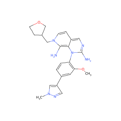 COc1cc(-c2cnn(C)c2)ccc1N1C(N)=NC=C2C=CN(CC3CCOC3)C(N)=C21